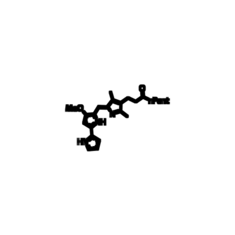 CCCCCC(=O)CCC1=C(C)/C(=C/c2[nH]c(-c3ccc[nH]3)cc2OC)N=C1C